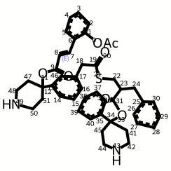 CC(=O)Oc1ccccc1/C=C/C(=O)OC1(c2cccc(CC(=O)SCC(Cc3ccccc3)C(=O)OC3(c4ccccc4)CCNCC3)c2)CCNCC1